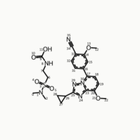 CN(C)S(=O)(=O)CCNC(=O)O.COc1cc(-c2ccc(OC)c3nc(C4CC4)nn23)ccc1C#N